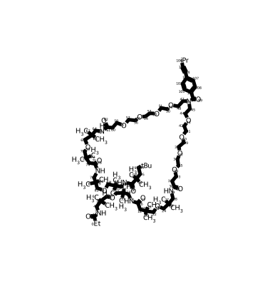 CCC(=O)NCC(C)(C)COCC(C)(C)CNC(=O)CC(C)(C)COCC(C)(C)CNC(=O)CCOCCOCCOCCOCCN(CCOCCOCCOCCOCCC(=O)NCC(C)(C)COCC(C)(C)CC(=O)NCC(C)(C)COCC(C)(C)CNC(=O)C(C)(C)CCC(C)(C)C)C(=O)c1ccc(C#CC(C)C)cc1